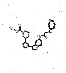 CCCCOC(=O)N1CCCC(c2cccc(-c3cnn4ccc(NC(=O)CNc5cccnc5)cc34)n2)C1